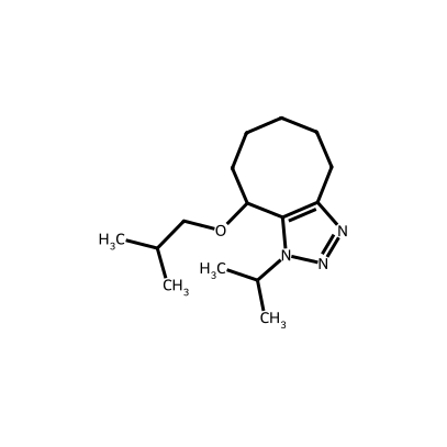 CC(C)COC1CCCCCc2nnn(C(C)C)c21